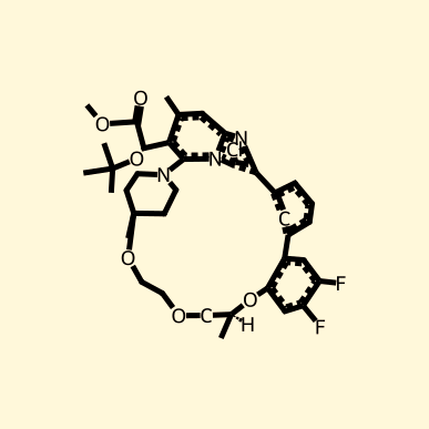 COC(=O)[C@@H](OC(C)(C)C)c1c(C)cc2nc3c(Cl)n2c1N1CCC(C)(CC1)OCCOC[C@H](C)Oc1cc(F)c(F)cc1-c1cccc-3c1